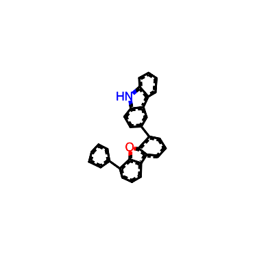 c1ccc(-c2cccc3c2oc2c(-c4ccc5[nH]c6ccccc6c5c4)cccc23)cc1